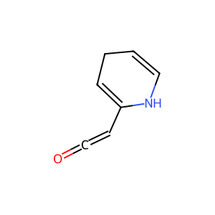 O=C=CC1=CCC=CN1